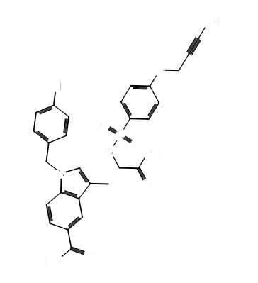 CC#CCOc1ccc(S(=O)(=O)N[C@@H](Cc2cn(Cc3ccc(Cl)cc3)c3ccc(C(=O)O)cc23)C(=O)O)cc1